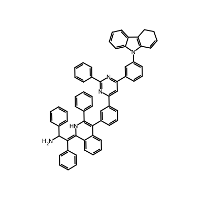 NC(/C(=C1\NC(c2ccccc2)=C(c2cccc(-c3cc(-c4cccc(-n5c6c(c7ccccc75)CCC=C6)c4)nc(-c4ccccc4)n3)c2)c2ccccc21)c1ccccc1)c1ccccc1